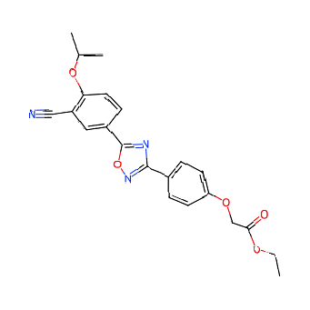 CCOC(=O)COc1ccc(-c2noc(-c3ccc(OC(C)C)c(C#N)c3)n2)cc1